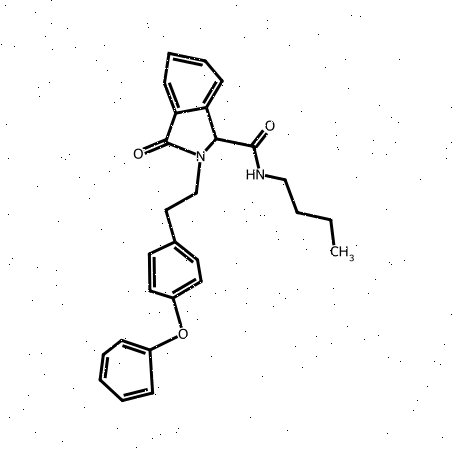 CCCCNC(=O)C1c2ccccc2C(=O)N1CCc1ccc(Oc2ccccc2)cc1